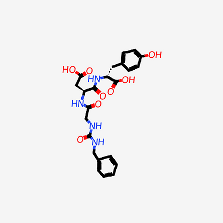 O=C(O)C[C@H](NC(=O)CNC(=O)NCc1ccccc1)C(=O)N[C@H](Cc1ccc(O)cc1)C(=O)O